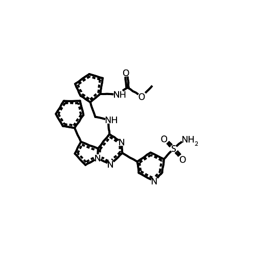 COC(=O)Nc1ccccc1CNc1nc(-c2cncc(S(N)(=O)=O)c2)nn2ccc(-c3ccccc3)c12